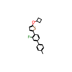 Cc1ccc(-c2ccc(-c3ccc(OC4CCC4)s3)c(F)c2)cc1